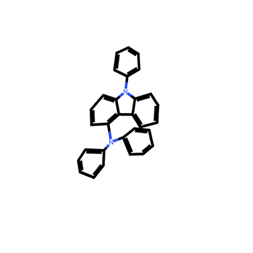 c1ccc(N(c2ccccc2)c2cccc3c2c2ccccc2n3-c2ccccc2)cc1